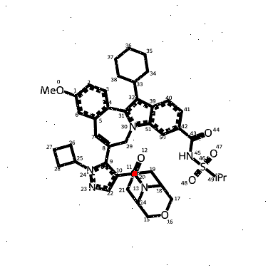 COc1ccc2c(c1)C=C(c1c(C(=O)N3C4COCC3COC4)cnn1C1CCC1)Cn1c-2c(C2CCCCC2)c2ccc(C(=O)NS(=O)(=O)C(C)C)cc21